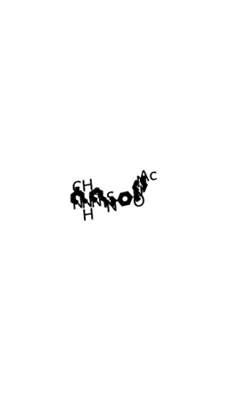 CC(=O)N1CCN(C(=O)[C@H]2CC[C@H](c3ncc(-c4cccc(Nc5cc(C)ccn5)n4)s3)CC2)CC1